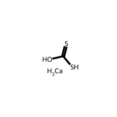 OC(=S)S.[CaH2]